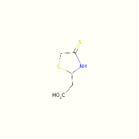 O=C(O)CC1NC(=S)CS1